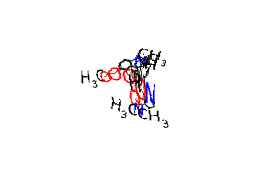 COCOc1ccc2c3c1O[C@H]1[C@@H](Oc4ncccc4C(=O)N(C)C)C=C[C@H]4[C@@H](C2)N(C)CC[C@@]341